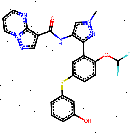 Cn1cc(NC(=O)c2cnn3cccnc23)c(-c2cc(Sc3cccc(O)c3)ccc2OC(F)F)n1